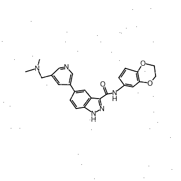 CN(C)Cc1cncc(-c2ccc3[nH]nc(C(=O)Nc4ccc5c(c4)OCCO5)c3c2)c1